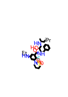 CCNc1cc(C(=O)N[C@@H](Cc2ccccc2)[C@H](O)CNC(C)CC(C)C)c(F)c(N2CCCCS2(=O)=O)c1